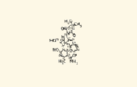 Cc1nc(C#N)c(C2CNC2)c(-c2ccnc3cc(CN4C(=O)C5C(C4=O)C5(C)C)sc23)c1C(N)=O.Cl